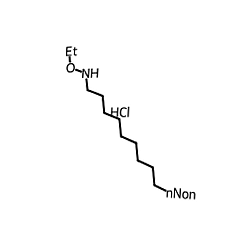 CCCCCCCCCCCCCCCCCCNOCC.Cl